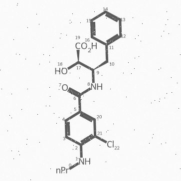 CCCNc1ccc(C(=O)N[C@H](Cc2ccccc2)[C@@H](O)C(=O)O)cc1Cl